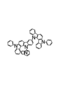 N#Cc1cccc2c1c1c(ccc3c4cc(-n5c6ccccc6c6ccc7c(c8ccccc8n7-c7ccccc7)c65)ccc4n(-c4ccccc4)c31)n2-c1ccccc1